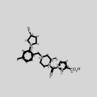 Cc1ccc(CN2CCN(C(=O)n3ccc(C(=O)O)n3)[C@H](C)C2)c(N2CC[C@H](F)C2)c1